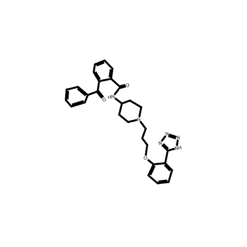 O=C(NC1CCN(CCCOc2ccccc2-c2nnn[nH]2)CC1)c1ccccc1C(=O)c1ccccc1